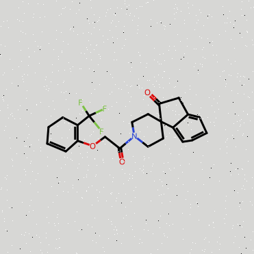 O=C(COC1=C(C(F)(F)F)CCC=C1)N1CCC2(CC1)C(=O)Cc1ccccc12